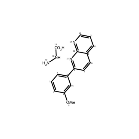 COc1cccc(-c2ccc3cccnc3n2)c1.NNC(=O)O